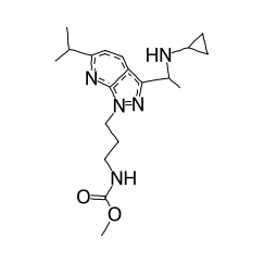 COC(=O)NCCCn1nc(C(C)NC2CC2)c2ccc(C(C)C)nc21